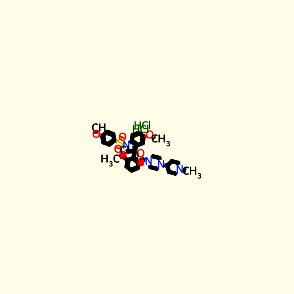 COc1ccc(S(=O)(=O)N2C(=O)C(OC(=O)N3CCN(C4CCN(C)CC4)CC3)(c3ccccc3C(C)C)c3cc(OC)ccc32)cc1.Cl.Cl